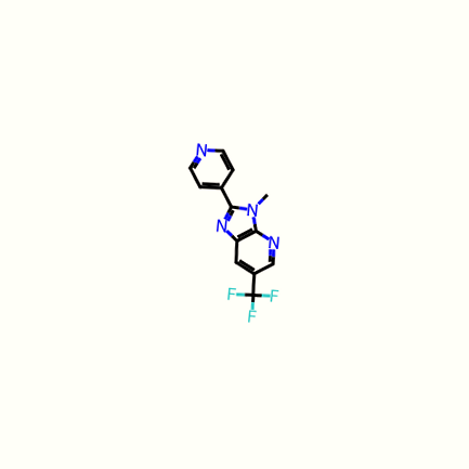 Cn1c(-c2ccncc2)nc2cc(C(F)(F)F)cnc21